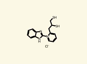 SCC(S)Cc1cccc[n+]1-c1nc2ccccc2[nH]1.[Cl-]